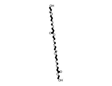 O=C(CCSCSCCCOOCCSCSCCOC(=O)CCSCSCCCOOCCO)OCCO